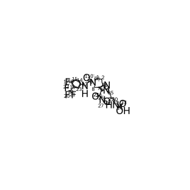 C[C@@H]1Cc2nn3c(c2CN1C(=O)Nc1ccc(F)c(C(F)(F)F)c1)C(=O)N(C)OC(CNC(=O)O)C3